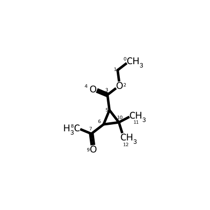 CCOC(=O)C1C(C(C)=O)C1(C)C